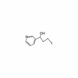 OC(CCI)c1cccnc1